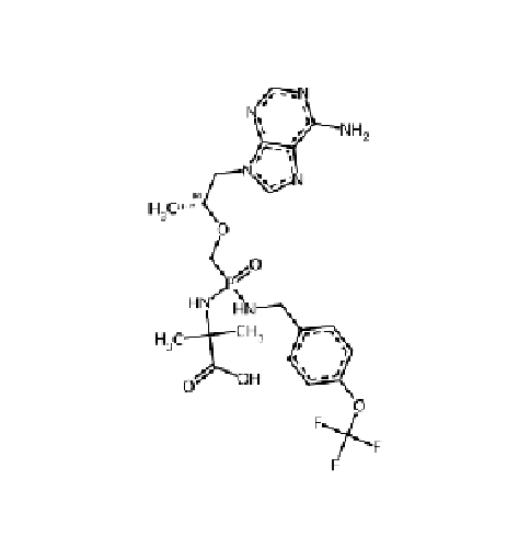 C[C@H](Cn1cnc2c(N)ncnc21)OCP(=O)(NCc1ccc(OC(F)(F)F)cc1)NC(C)(C)C(=O)O